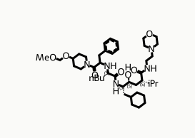 CCCC[C@H](NC(Cc1ccccc1)C(=O)N1CCC(OCOC)CC1)C(=O)N[C@@H](CC1CCCCC1)[C@@H](O)C[C@H](C(=O)NCCN1CCOCC1)C(C)C